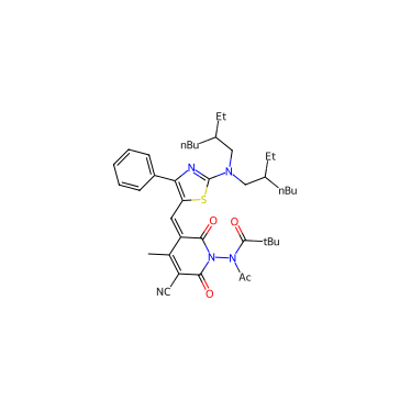 CCCCC(CC)CN(CC(CC)CCCC)c1nc(-c2ccccc2)c(/C=C2\C(=O)N(N(C(C)=O)C(=O)C(C)(C)C)C(=O)C(C#N)=C2C)s1